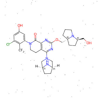 O=C1c2nc(OC[C@]34CCCN3[C@@H](CO)CC4)nc(N3C[C@H]4CC[C@@H](C3)N4)c2CCN1c1cc(O)cc(Cl)c1C(F)(F)F